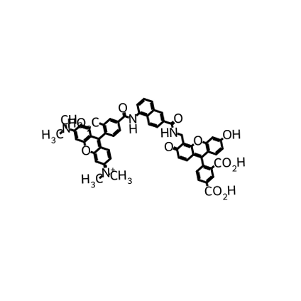 CN(C)c1ccc2c(-c3ccc(C(=O)Nc4cccc5cc(C(=O)NCc6c7oc8cc(O)ccc8c(-c8ccc(C(=O)O)cc8C(=O)O)c-7ccc6=O)ccc45)cc3C(=O)O)c3ccc(=[N+](C)C)cc-3oc2c1